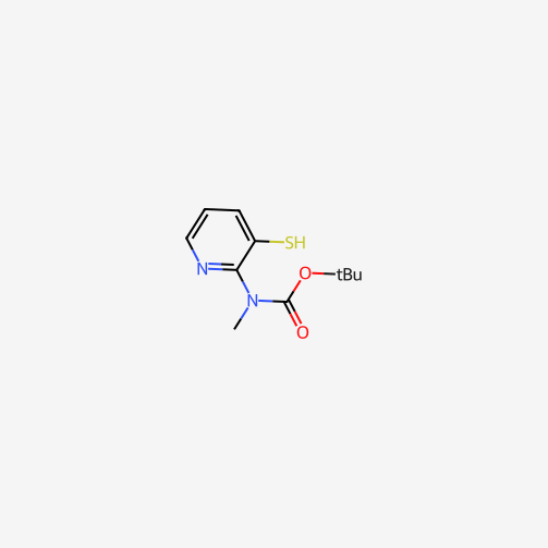 CN(C(=O)OC(C)(C)C)c1ncccc1S